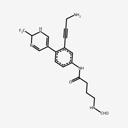 NCC#Cc1cc(NC(=O)CCCNC=O)ccc1C1=CNC(C(F)(F)F)N=C1